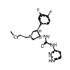 COCCN1C[C@@H](NC(=O)Nc2cc[nH]n2)[C@H](c2ccc(F)c(F)c2)C1